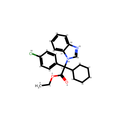 CCOC(=O)C(c1ccc(Cl)cc1)(C1CCCCC1)n1cnc2ccccc21